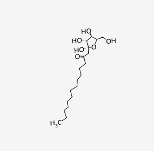 CCCCCCCCCCCCC(=O)C[C@]1(O)O[C@H](CO)[C@H](O)[C@H]1O